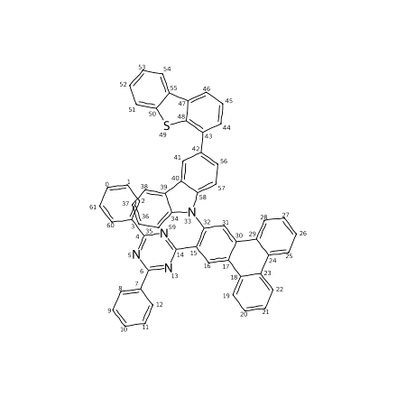 c1ccc(-c2nc(-c3ccccc3)nc(-c3cc4c5ccccc5c5ccccc5c4cc3-n3c4ccccc4c4cc(-c5cccc6c5sc5ccccc56)ccc43)n2)cc1